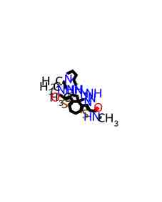 C=C(CN[C@@H](C)CC1(c2nn[nH]n2)c2cc(C(=O)NC)sc2CCc2sc(C(=O)NC)cc21)N1CCCC1C#N